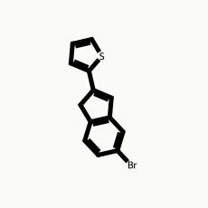 Brc1ccc2c(c1)C=C(c1cccs1)C2